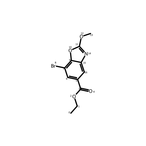 CCOC(=O)c1cc(Br)c2oc(OC)nc2c1